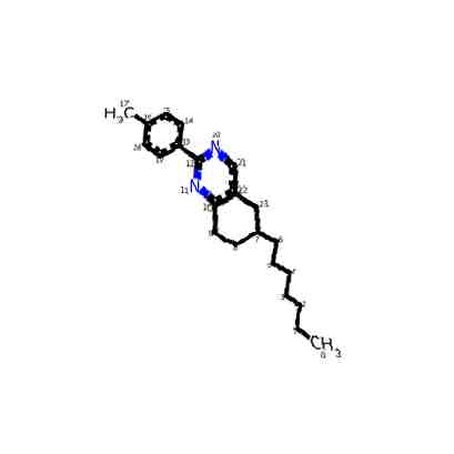 CCCCCCCC1CCc2nc(-c3ccc(C)cc3)ncc2C1